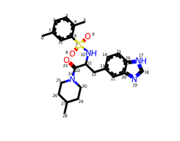 Cc1ccc(C)c(S(=O)(=O)NC(Cc2ccc3[nH]cnc3c2)C(=O)N2CCC(C)CC2)c1